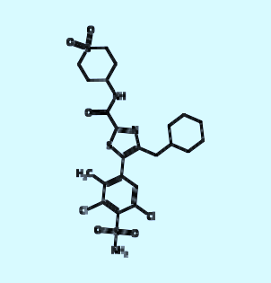 Cc1c(-c2sc(C(=O)NC3CCS(=O)(=O)CC3)nc2CC2CCCCC2)cc(Cl)c(S(N)(=O)=O)c1Cl